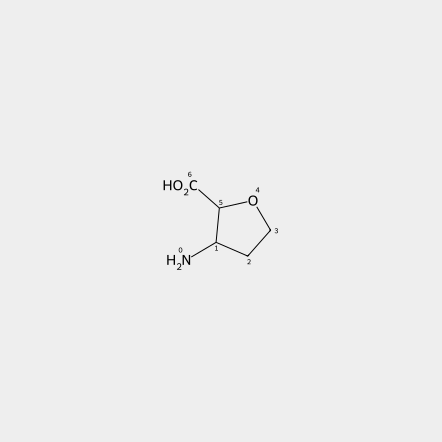 NC1CCOC1C(=O)O